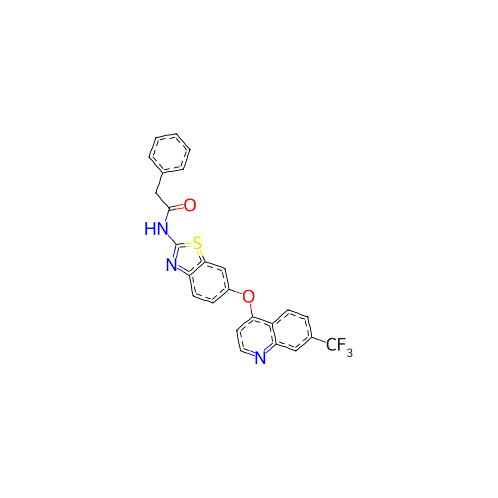 O=C(Cc1ccccc1)Nc1nc2ccc(Oc3ccnc4cc(C(F)(F)F)ccc34)cc2s1